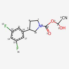 N#CC(O)OC(=O)N1CCC(c2cc(F)cc(F)c2)C1